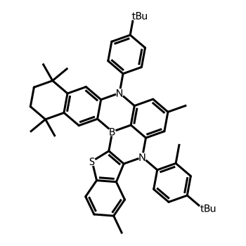 Cc1cc2c3c(c1)N(c1ccc(C(C)(C)C)cc1C)c1c(sc4ccc(C)cc14)B3c1cc3c(cc1N2c1ccc(C(C)(C)C)cc1)C(C)(C)CCC3(C)C